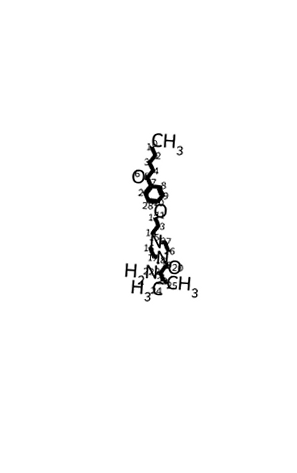 CCCCCC(=O)c1ccc(OCCCN2CCN(C(=O)[C@H](N)C(C)C)CC2)cc1